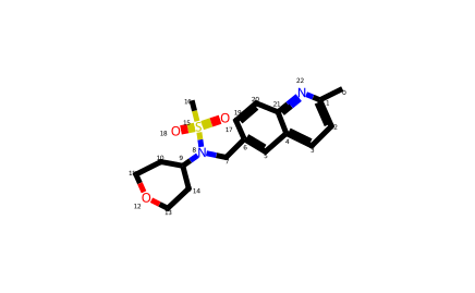 Cc1ccc2cc(CN(C3CCOCC3)S(C)(=O)=O)ccc2n1